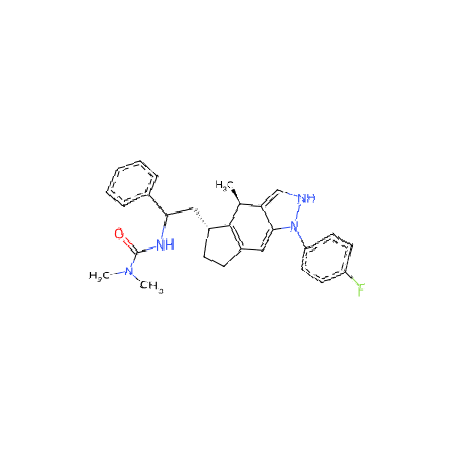 C[C@H]1C2=CNN(c3ccc(F)cc3)C2=CC2=C1[C@@H](CC(NC(=O)N(C)C)c1ccccc1)CC2